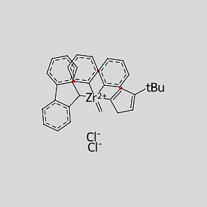 [CH2]=[Zr+2]([C]1=CC(C(C)(C)C)=CC1)([c]1ccccc1)([c]1ccccc1)[CH]1c2ccccc2-c2ccccc21.[Cl-].[Cl-]